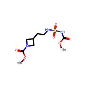 CC(C)(C)OC(=O)NS(=O)(=O)NCCC1CN(C(=O)OC(C)(C)C)C1